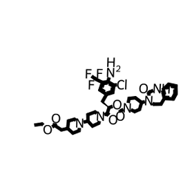 CCOC(=O)CC1CCN(C2CCN(C(=O)[C@@H](Cc3cc(Cl)c(N)c(C(F)(F)F)c3)OC(=O)N3CCC(N4CCc5ccccc5NC4=O)CC3)CC2)CC1